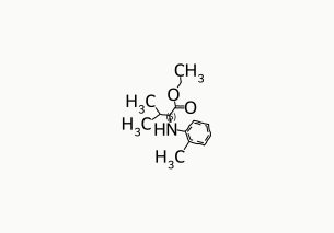 CCOC(=O)[C@@H](Nc1ccccc1C)C(C)C